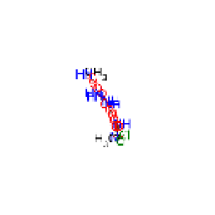 CNCCOCCOCCOCCNC(=O)Nc1ccc(NC(=O)NCCOCCOCCOCCNS(=O)(=O)c2ccc([C@@H]3CN(C)Cc4c(Cl)cc(Cl)cc43)cc2)cc1